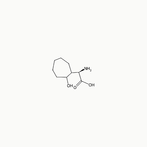 N[C@@H](C(=O)O)C1CCCCCC1O